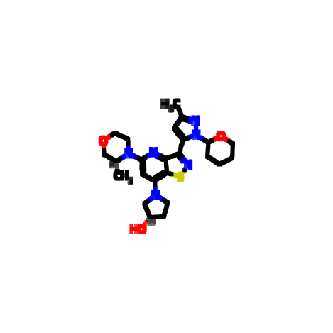 Cc1cc(-c2nsc3c(N4CC[C@H](O)C4)cc(N4CCOC[C@H]4C)nc23)n(C2CCCCO2)n1